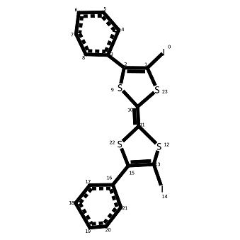 IC1=C(c2ccccc2)SC(=C2SC(I)=C(c3ccccc3)S2)S1